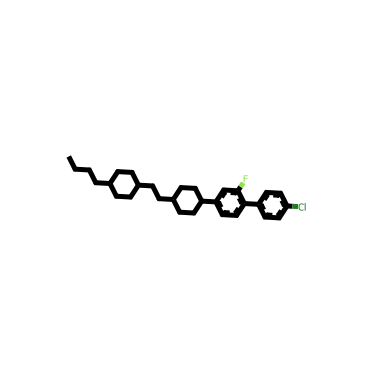 CCCCC1CCC(CCC2CCC(c3ccc(-c4ccc(Cl)cc4)c(F)c3)CC2)CC1